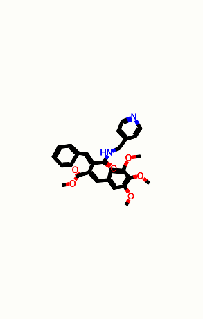 COC(=O)C(=C/c1cc(OC)c(OC)c(OC)c1)/C(=C\c1ccccc1)C(=O)NCc1ccncc1